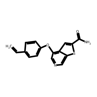 C=Cc1ccc(Oc2cncc3sc(C(N)=O)cc23)cc1